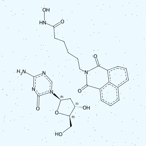 Nc1ncn([C@H]2C[C@H](O)[C@@H](CO)O2)c(=O)n1.O=C(CCCCCN1C(=O)c2cccc3cccc(c23)C1=O)NO